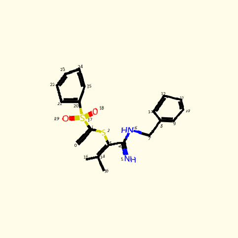 C=C(SC(C(=N)NCc1ccccc1)=C(C)C)S(=O)(=O)c1ccccc1